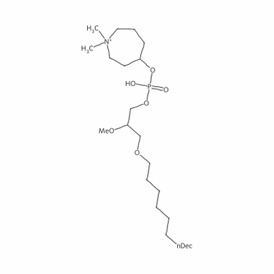 CCCCCCCCCCCCCCCCOCC(COP(=O)(O)OC1CCC[N+](C)(C)CC1)OC